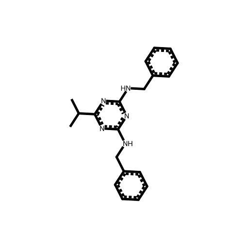 CC(C)c1nc(NCc2ccccc2)nc(NCc2ccccc2)n1